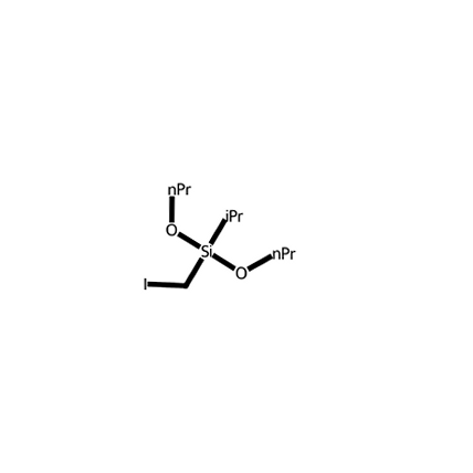 CCCO[Si](CI)(OCCC)C(C)C